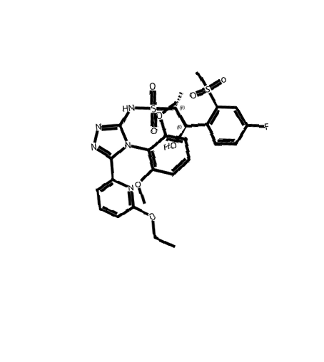 CCOc1cccc(-c2nnc(NS(=O)(=O)[C@H](C)[C@H](O)c3ccc(F)cc3S(C)(=O)=O)n2-c2c(OC)cccc2OC)n1